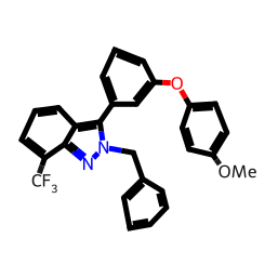 COc1ccc(Oc2cccc(-c3c4cccc(C(F)(F)F)c4nn3Cc3ccccc3)c2)cc1